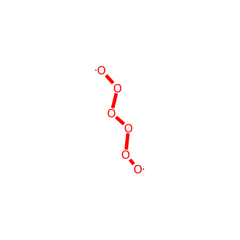 [O]OOOO[O]